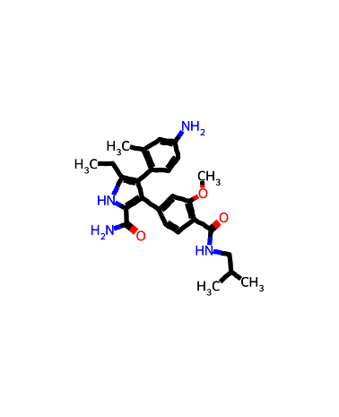 CCc1[nH]c(C(N)=O)c(-c2ccc(C(=O)NCC(C)C)c(OC)c2)c1-c1ccc(N)cc1C